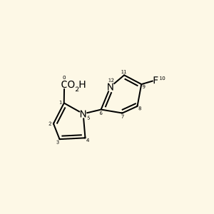 O=C(O)c1cccn1-c1ccc(F)cn1